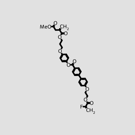 C=C(F)C(=O)OCCOc1ccc(-c2ccc(C(=O)Oc3ccc(OCCCOC(=O)C(=C)CC(=O)OC)cc3)cc2)cc1